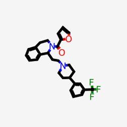 O=C(c1ccco1)N1CCc2ccccc2C1CCN1CCC(c2cccc(C(F)(F)F)c2)CC1